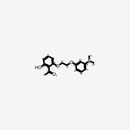 CC(=O)c1c(O)cccc1OCCOc1cccc(N(C)C)c1